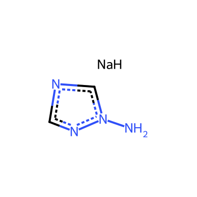 Nn1cncn1.[NaH]